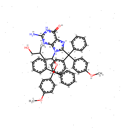 COc1ccc(C(OC(CC(C)CO)n2c(C(c3ccccc3)(c3ccccc3)c3ccc(OC)cc3)nc3c(=O)[nH]c(N)nc32)(c2ccccc2)c2ccccc2)cc1